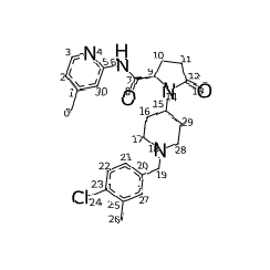 Cc1ccnc(NC(=O)[C@H]2CCC(=O)N2C2CCN(Cc3ccc(Cl)c(C)c3)CC2)c1